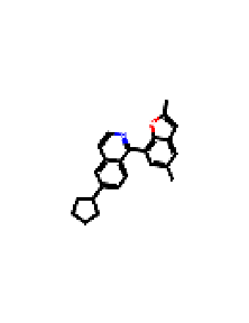 Cc1cc(-c2nccc3cc(C4CCCC4)ccc23)c2oc(C)cc2c1